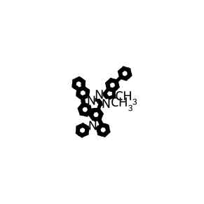 CC1(C)c2cc(-c3ccccc3)ccc2-c2nc(-n3c4ccccc4c4cc5ccccc5cc43)c(-c3ccc4c(c3)c3ccccc3n4-c3ccccc3)nc21